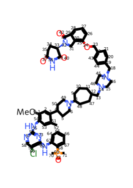 COc1cc(C2CCN(C3CCCC(CN4CCN(Cc5ccc(COc6cccc7c6CN([C@@H]6CCC(=O)NC6=O)C7=O)cc5)CC4)CC3)CC2)c(C)cc1Nc1ncc(Cl)c(Nc2ccccc2P(C)(C)=O)n1